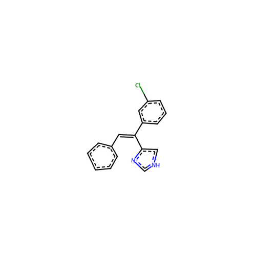 Clc1cccc(C(=Cc2ccccc2)c2c[nH]cn2)c1